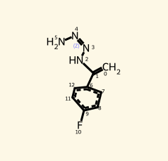 C=C(N/N=N\N)c1ccc(F)cc1